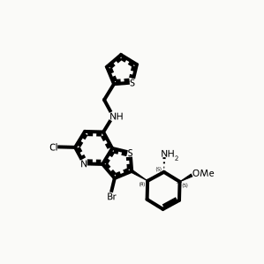 CO[C@H]1C=CC[C@@H](c2sc3c(NCc4cccs4)cc(Cl)nc3c2Br)[C@@H]1N